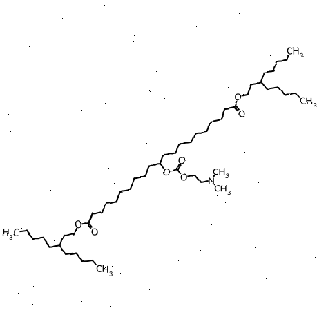 CCCCCC(CCCCC)CCOC(=O)CCCCCCCCCC(CCCCCCCCCC(=O)OCCC(CCCCC)CCCCC)OC(=O)OCCN(C)C